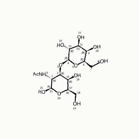 CC(=O)N[C@@H]1[C@@H](O[C@@H]2O[C@H](CO)[C@H](O)[C@H](O)[C@H]2O)[C@@H](O)[C@@H](CO)O[C@H]1O